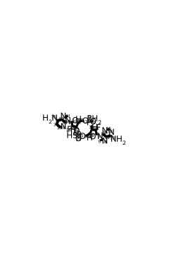 B[P@]1(=O)C[C@H]2[C@@H](F)[C@H](n3cnc4c(N)ncnc43)O[C@@H]2CO[P@@](=O)(S)O[C@H]2[C@@H](F)[C@H](n3cnc4c(N)ccnc43)O[C@@H]2CO1